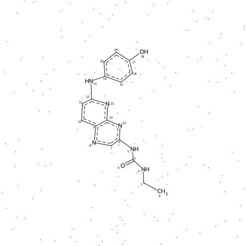 CCNC(=O)Nc1cnc2ccc(Nc3ccc(O)cc3)nc2n1